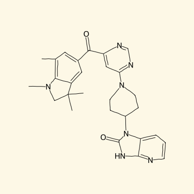 Cc1cc(C(=O)c2cc(N3CCC(n4c(=O)[nH]c5ncccc54)CC3)ncn2)cc2c1N(C)CC2(C)C